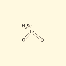 O=[Te]=O.[SeH2]